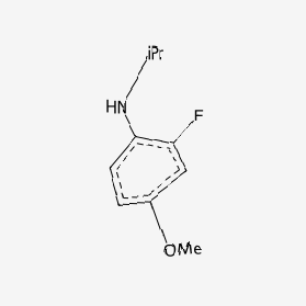 COc1ccc(NC(C)C)c(F)c1